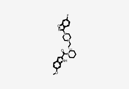 COc1ccc2cc(C(=O)N3CCCC[C@H]3CCN3CCN(c4noc5cc(F)ccc45)CC3)[nH]c2c1